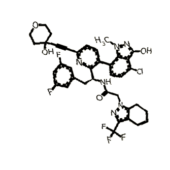 Cn1nc(O)c2c(Cl)ccc(-c3ccc(C#CC4(O)CCOCC4)nc3[C@H](Cc3cc(F)cc(F)c3)NC(=O)Cn3nc(C(F)(F)F)c4c3CCCC4)c21